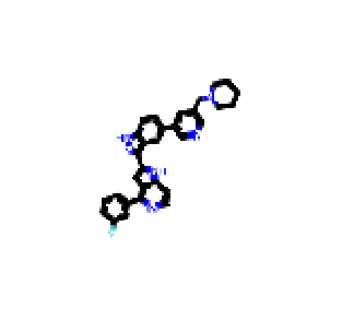 Fc1cccc(-c2nccc3[nH]c(-c4n[nH]c5ccc(-c6cncc(CN7CCCCC7)c6)cc45)cc23)c1